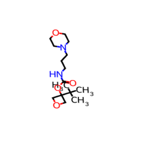 CC(C)(C)C1(OC(=O)NCCCN2CCOCC2)COC1